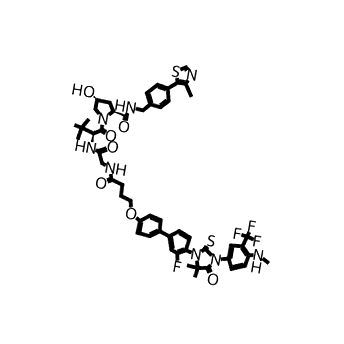 CNc1ccc(N2C(=O)C(C)(C)N(c3ccc(-c4ccc(OCCCC(=O)NCC(=O)N[C@H](C(=O)N5C[C@H](O)C[C@H]5C(=O)NCc5ccc(-c6scnc6C)cc5)C(C)(C)C)cc4)cc3F)C2=S)cc1C(F)(F)F